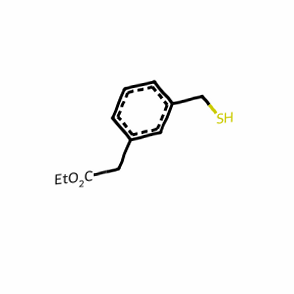 CCOC(=O)Cc1cccc(CS)c1